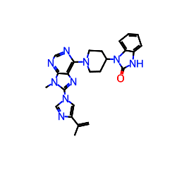 C=C(C)c1cn(-c2nc3c(N4CCC(n5c(=O)[nH]c6ccccc65)CC4)ncnc3n2C)cn1